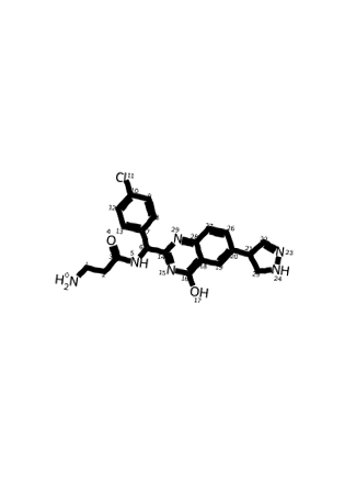 NCCC(=O)NC(c1ccc(Cl)cc1)c1nc(O)c2cc(C3C=NNC3)ccc2n1